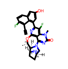 C#Cc1c(F)ccc2cc(O)cc(-c3nc4c5c(nc(=O)n(C)c5c3F)N3C[C@H]5CC[C@H](N5)[C@H]3[C@H](C)O4)c12